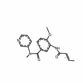 C/C=C/C(=O)Nc1cc(C(=O)N(C)c2cccnc2)ccc1OC